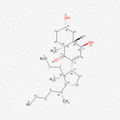 CC(=O)OCC[C@]1(C)[C@@H]([C@H](C)CCCC(C)C)CC[C@H]1C1=C[C@H](O)[C@H]2C[C@@H](O)CC[C@]2(C)C1=O